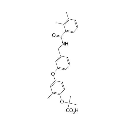 Cc1cc(Oc2cccc(CNC(=O)c3cccc(C)c3C)c2)ccc1OC(C)(C)C(=O)O